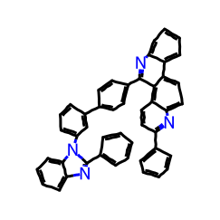 c1ccc(-c2ccc3c(ccc4c5ccccc5nc(-c5ccc(-c6cccc(-n7c(-c8ccccc8)nc8ccccc87)c6)cc5)c34)n2)cc1